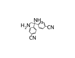 N#Cc1ccc(C(N)(CN)c2ccc(C#N)cc2)cc1